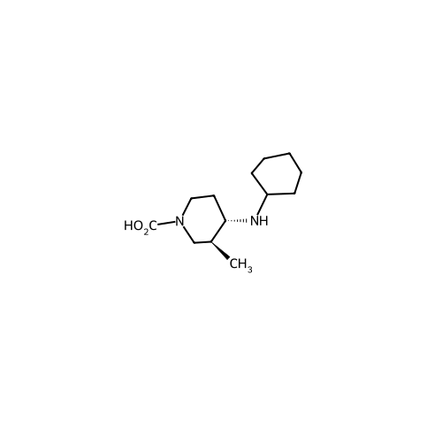 C[C@H]1CN(C(=O)O)CC[C@@H]1NC1CCCCC1